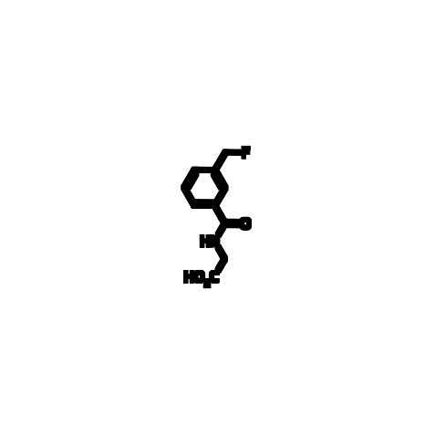 O=C(O)CNC(=O)c1cccc(CF)c1